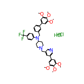 COc1cc(-c2cncc(CN3CCC(N(Cc4cccc(-c5cc(OC)c(OC)c(OC)c5)c4)c4ccc(C(F)(F)F)cc4)CC3)c2)cc(OC)c1OC.Cl.Cl